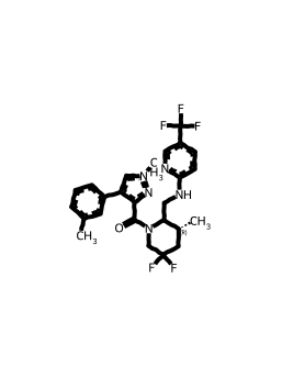 Cc1cccc(-c2cn(C)nc2C(=O)N2CC(F)(F)C[C@@H](C)C2CNc2ccc(C(F)(F)F)cn2)c1